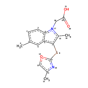 Cc1ccc2c(c1)c(Sc1nc(C)co1)c(C)n2CC(=O)O